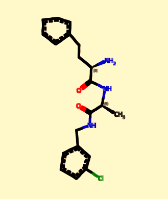 C[C@H](NC(=O)[C@H](N)CCc1ccccc1)C(=O)NCc1cccc(Cl)c1